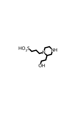 O=S(=O)(O)CCCN1CCNCC1CCO